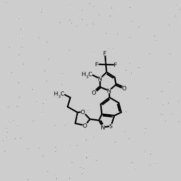 CCCC1COC(c2nsc3ccc(-n4c(=O)cc(C(F)(F)F)n(C)c4=O)cc23)O1